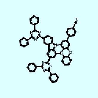 N#Cc1ccc(-c2cc3c4c(c2)-n2c5ccc(-c6nc(-c7ccccc7)nc(-c7ccccc7)n6)cc5c5cc(-c6nc(-c7ccccc7)nc(-c7ccccc7)n6)cc(c52)B4c2ccccc2O3)cc1